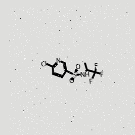 CC(NS(=O)(=O)c1ccc(Cl)nc1)C(F)(F)F